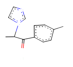 CCc1ccc(C(=O)C(C)n2ccnc2)cc1.Cl